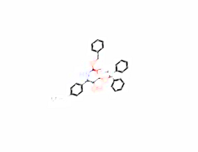 COc1ccc([C@@H](NC(=O)OCc2ccccc2)[C@@H](O)CO[Si](c2ccccc2)(c2ccccc2)C(C)(C)C)cc1